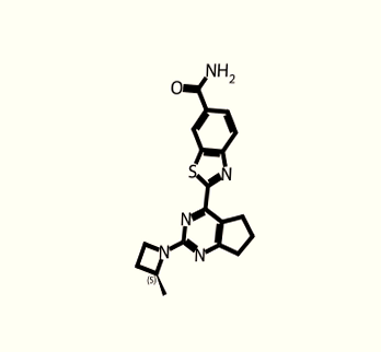 C[C@H]1CCN1c1nc2c(c(-c3nc4ccc(C(N)=O)cc4s3)n1)CCC2